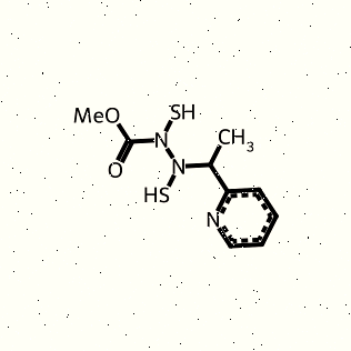 COC(=O)N(S)N(S)C(C)c1ccccn1